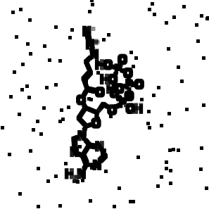 [N-]=[N+]=NC/C=C/C(=O)OC1C[C@H](n2cnc3c(N)ncnc32)O[C@@H]1COP(=O)(O)OP(=O)(O)OP(=O)(O)O